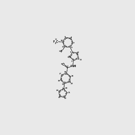 O=C(Nc1nc(-c2cccc(C(F)(F)F)c2F)cs1)c1ccc(-n2cccc2)nc1